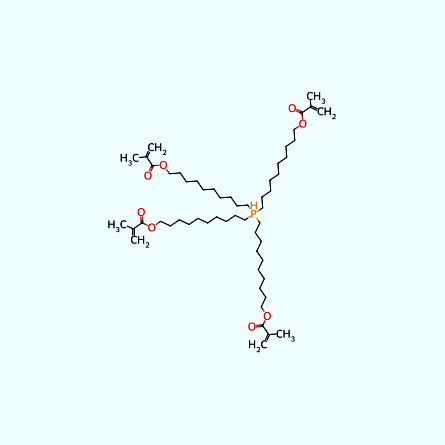 C=C(C)C(=O)OCCCCCCCCCC[PH](CCCCCCCCCCOC(=O)C(=C)C)(CCCCCCCCCCOC(=O)C(=C)C)CCCCCCCCCCOC(=O)C(=C)C